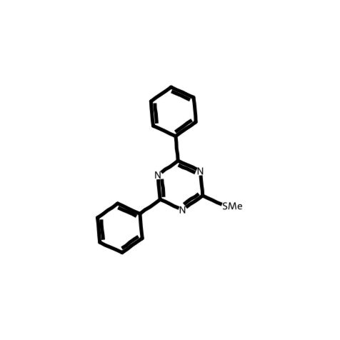 CSc1nc(-c2ccccc2)nc(-c2ccccc2)n1